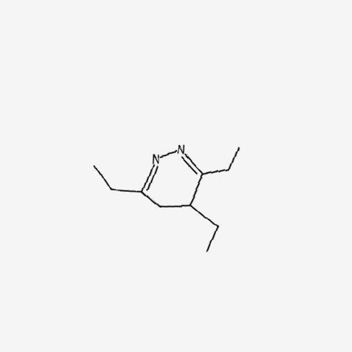 CCC1=NN=C(CC)C(CC)C1